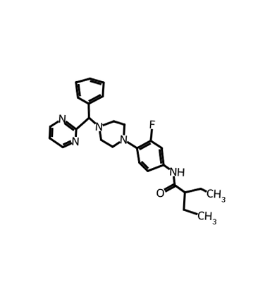 CCC(CC)C(=O)Nc1ccc(N2CCN(C(c3ccccc3)c3ncccn3)CC2)c(F)c1